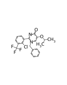 CC(C)Oc1cn(Cc2ccccc2)c(-c2cccc(C(F)(F)F)c2Cl)nc1=O